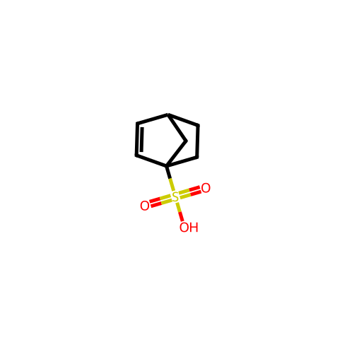 O=S(=O)(O)C12C=CC(CC1)C2